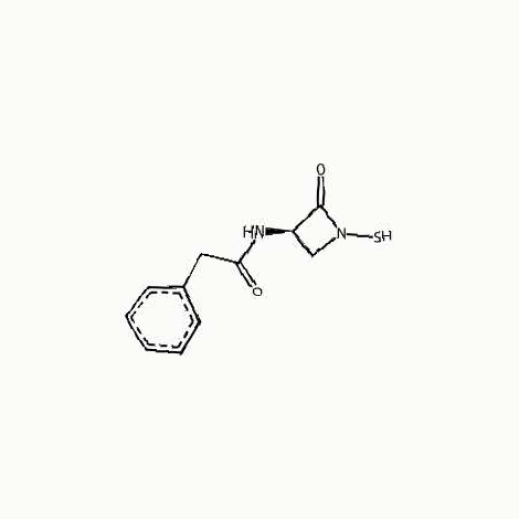 O=C(Cc1ccccc1)N[C@@H]1CN(S)C1=O